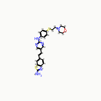 Nc1nc2ccc(/C=C/c3cnc(Nc4ccc(SCCN5CCOCC5)cc4)nc3)cc2s1